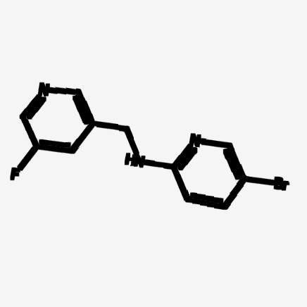 Fc1cncc(CNc2ccc(Br)cn2)c1